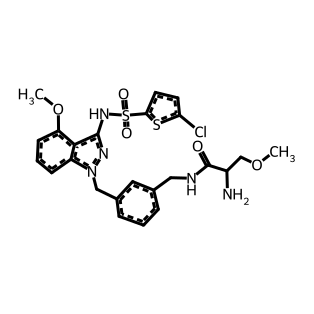 COCC(N)C(=O)NCc1cccc(Cn2nc(NS(=O)(=O)c3ccc(Cl)s3)c3c(OC)cccc32)c1